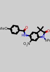 CCCN1C(=O)C(C)(C)c2cc(NC(=O)c3ccc(OC)cc3)c([N+](=O)[O-])cc21